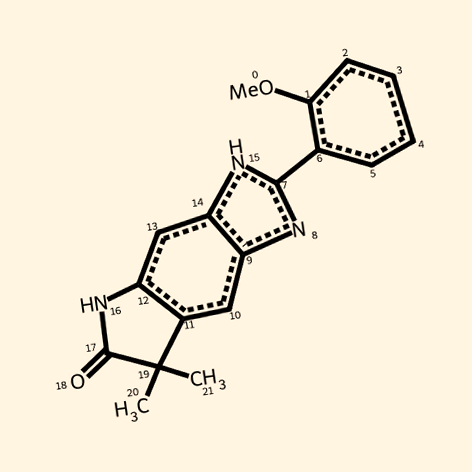 COc1ccccc1-c1nc2cc3c(cc2[nH]1)NC(=O)C3(C)C